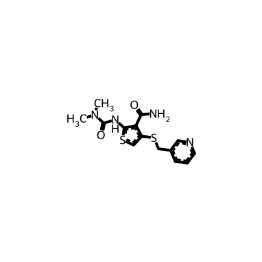 CN(C)C(=O)Nc1scc(SCc2cccnc2)c1C(N)=O